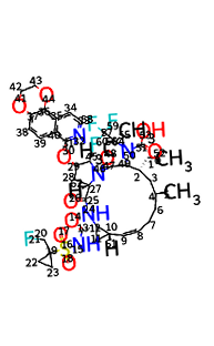 CC[C@@H]1C[C@@H](C)CC/C=C\[C@@H]2C[C@@]2(C(=O)NS(=O)(=O)C2(CF)CC2)NC(=O)[C@@H]2C[C@@H](Oc3nccc4c5c(ccc34)OCCO5)CN2C(=O)[C@H]1N(C(=O)O)C(C)(C)C(F)(F)F